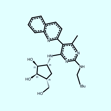 Cc1nc(NCC(C)(C)C)nc(N[C@@H]2C[C@H](CO)[C@@H](O)[C@H]2O)c1-c1ccc2ccccc2n1